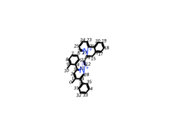 Cc1cc(-c2ccccc2C)[n+](/C=C/[C@H]2Cc3ccccc3-c3cccc[n+]32)cc1-c1ccccc1